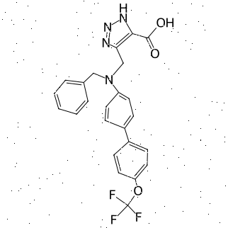 O=C(O)c1[nH]nnc1CN(Cc1ccccc1)c1ccc(-c2ccc(OC(F)(F)F)cc2)cc1